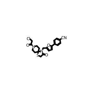 N#Cc1ccc(-c2ccc(CN3C(=O)CSC34CCN(C(=O)CCl)CC4)o2)cc1